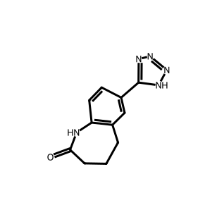 O=C1CCCc2cc(-c3nnn[nH]3)ccc2N1